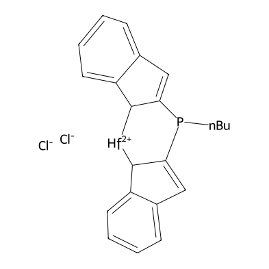 CCCCP1C2=Cc3ccccc3[CH]2[Hf+2][CH]2C1=Cc1ccccc12.[Cl-].[Cl-]